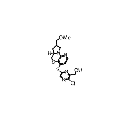 COCC1C[C@H]2COc3c(Sc4cnc(Cl)c(CO)n4)ccnc3N2C1